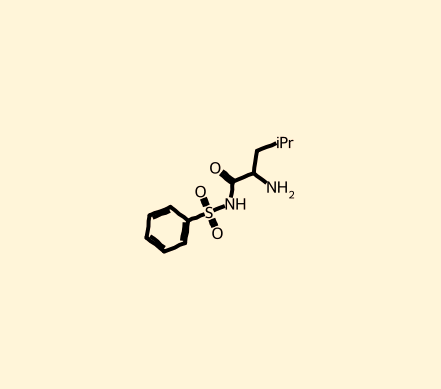 CC(C)CC(N)C(=O)NS(=O)(=O)c1ccccc1